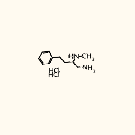 CNC(CN)CCc1ccccc1.Cl.Cl